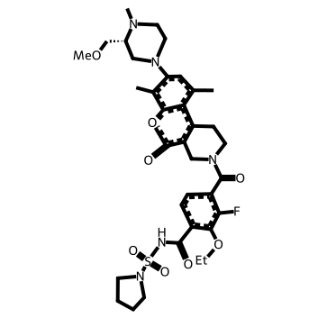 CCOc1c(C(=O)NS(=O)(=O)N2CCCC2)ccc(C(=O)N2CCc3c(c(=O)oc4c(C)c(N5CCN(C)[C@@H](COC)C5)cc(C)c34)C2)c1F